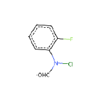 O=[C]N(Cl)c1ccccc1F